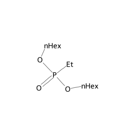 CCCCCCOP(=O)(CC)OCCCCCC